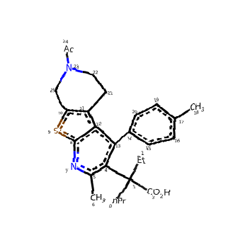 CCCC(CC)(C(=O)O)c1c(C)nc2sc3c(c2c1-c1ccc(C)cc1)CCN(C(C)=O)C3